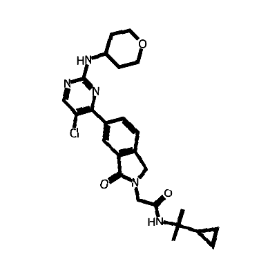 CC(C)(NC(=O)CN1Cc2ccc(-c3nc(NC4CCOCC4)ncc3Cl)cc2C1=O)C1CC1